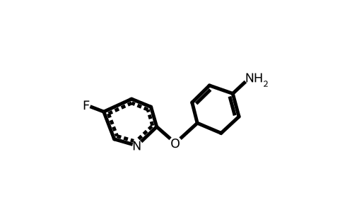 NC1=CCC(Oc2ccc(F)cn2)C=C1